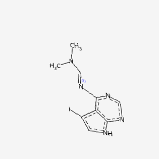 CN(C)/C=N/c1ncnc2[nH]cc(I)c12